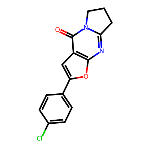 O=c1c2cc(-c3ccc(Cl)cc3)oc2nc2n1CCC2